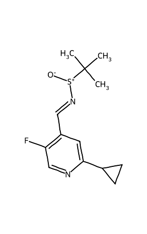 CC(C)(C)[S+]([O-])N=Cc1cc(C2CC2)ncc1F